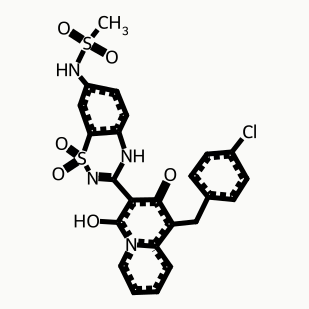 CS(=O)(=O)Nc1ccc2c(c1)S(=O)(=O)N=C(c1c(O)n3ccccc3c(Cc3ccc(Cl)cc3)c1=O)N2